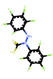 Fc1c(F)c(F)c(NN(C(=S)S)c2c(F)c(F)c(F)c(F)c2F)c(F)c1F